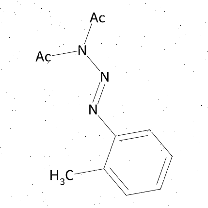 CC(=O)N(N=Nc1ccccc1C)C(C)=O